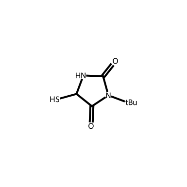 CC(C)(C)N1C(=O)NC(S)C1=O